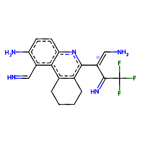 N=Cc1c(N)ccc2nc(/C(=C/N)C(=N)C(F)(F)F)c3c(c12)CCCC3